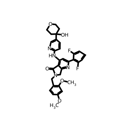 COc1ccc(CN2Cc3nc(-c4c(F)cccc4F)cc(Nc4ccc(C5(O)CCOCC5)cn4)c3C2=O)c(OC)c1